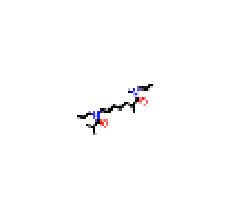 CCCN(C)C(=O)C(C)CCCCCN(CCC)C(=O)C(C)C